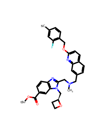 CN(Cc1ccc2ccc(OCc3ccc(C#N)cc3F)nc2c1)Cc1nc2ccc(C(=O)OC(C)(C)C)cc2n1C[C@@H]1CCO1